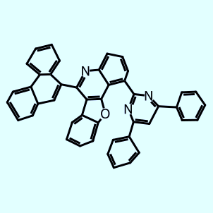 c1ccc(-c2cc(-c3ccccc3)nc(-c3cccc4nc(-c5cc6ccccc6c6ccccc56)c5c6ccccc6oc5c34)n2)cc1